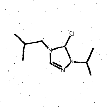 CC(C)CN1C=NN(C(C)C)C1Cl